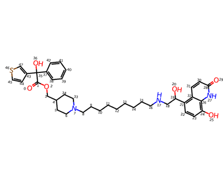 O=C(OCC1CCN(CCCCCCCCCNCC(O)c2ccc(O)c3[nH]c(=O)ccc23)CC1)C(O)(c1ccccc1)c1ccsc1